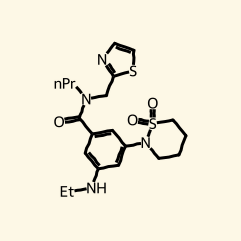 CCCN(Cc1nccs1)C(=O)c1cc(NCC)cc(N2CCCCS2(=O)=O)c1